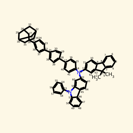 CC1(C)c2ccccc2-c2ccc(N(c3ccc(-c4ccc(-c5ccc(C67CC8CC(CC(C8)C6)C7)cc5)cc4)cc3)c3ccc4c5ccccc5n(-c5ccccc5)c4c3)cc21